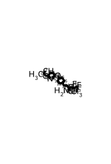 CC(C)Oc1ccc(Oc2ccc(/C=C/C(C)(N)OC(=O)C(F)(F)F)cc2)cn1